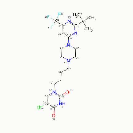 CC(C)(C)c1nc(N2CCN(CCCCn3cc(Cl)c(=O)[nH]c3=O)CC2)cc(C(F)(F)F)n1